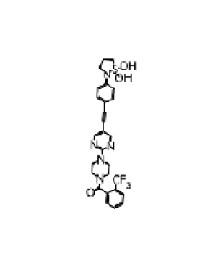 O=C(c1ccccc1C(F)(F)F)N1CCN(c2ncc(C#Cc3ccc(N4CCCS4(O)O)cc3)cn2)CC1